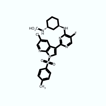 Cc1ccc(S(=O)(=O)n2cc(-c3ncc(F)c(N[C@@H]4CCC[C@@H](NC(=O)O)C4)n3)c3cc(Cl)cnc32)cc1